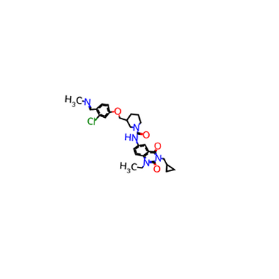 CCn1c(=O)n(CC2CC2)c(=O)c2cc(NC(=O)N3CCCC(COc4ccc(/C=N/C)c(Cl)c4)C3)ccc21